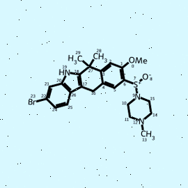 COc1cc2c(cc1[S+]([O-])N1CCN(C)CC1)Cc1c([nH]c3cc(Br)ccc13)C2(C)C